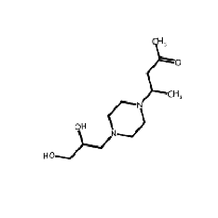 CC(=O)CC(C)N1CCN(CC(O)CO)CC1